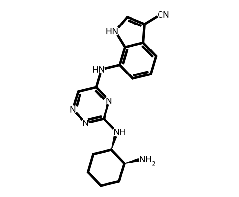 N#Cc1c[nH]c2c(Nc3cnnc(N[C@@H]4CCCC[C@@H]4N)n3)cccc12